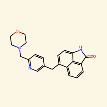 O=C1Nc2ccc(Cc3ccc(CN4CCOCC4)nc3)c3cccc1c23